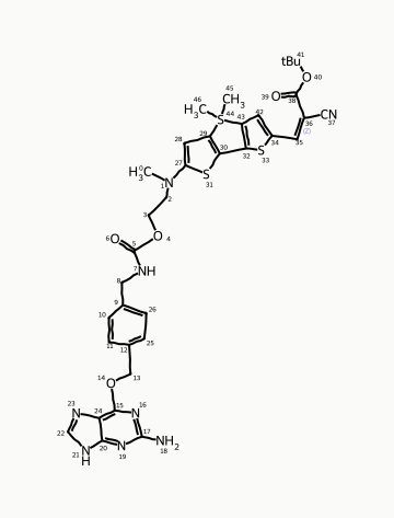 CN(CCOC(=O)NCc1ccc(COc2nc(N)nc3[nH]cnc23)cc1)c1cc2c(s1)-c1sc(/C=C(/C#N)C(=O)OC(C)(C)C)cc1S2(C)C